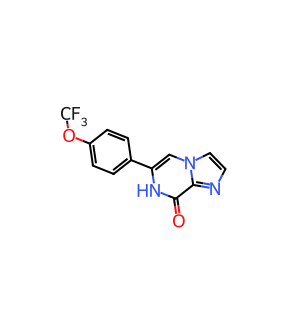 O=c1[nH]c(-c2ccc(OC(F)(F)F)cc2)cn2ccnc12